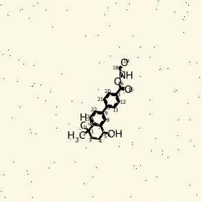 CC1(C)CCC(O)c2cc(-c3ccc(C(=O)ONC=O)cc3)ccc21